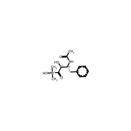 CC(=O)N[C@H](Cc1ccccc1)[C@H](O)C(=O)[N+](C)(C)O